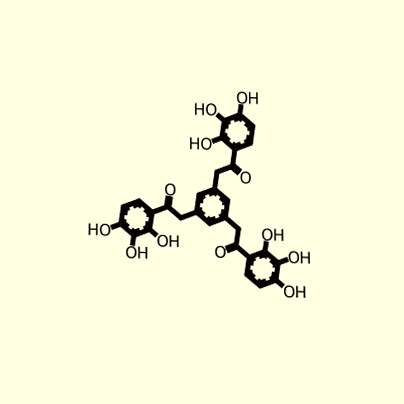 O=C(Cc1cc(CC(=O)c2ccc(O)c(O)c2O)cc(CC(=O)c2ccc(O)c(O)c2O)c1)c1ccc(O)c(O)c1O